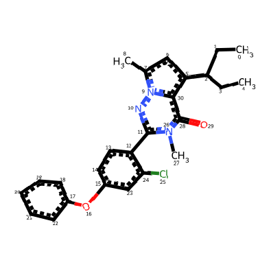 CCC(CC)c1cc(C)n2nc(-c3ccc(Oc4ccccc4)cc3Cl)n(C)c(=O)c12